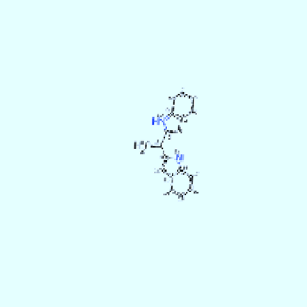 C=C(c1cc2ccccc2[nH]1)c1cc2ccccc2[nH]1